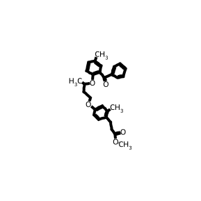 COC(=O)CCc1ccc(OCCC(C)Oc2ccc(C)cc2C(=O)c2ccccc2)cc1C